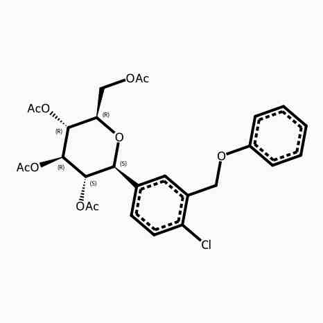 CC(=O)OC[C@H]1O[C@@H](c2ccc(Cl)c(COc3ccccc3)c2)[C@H](OC(C)=O)[C@@H](OC(C)=O)[C@@H]1OC(C)=O